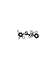 O=C(NS(=O)(=O)c1ccccc1Cl)c1cn(-c2cc(F)cc(F)c2Cl)cn1